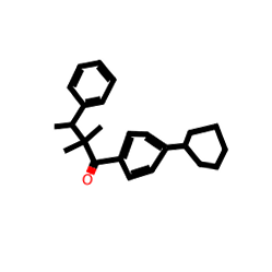 CC(c1ccccc1)C(C)(C)C(=O)c1ccc(C2CCCCC2)cc1